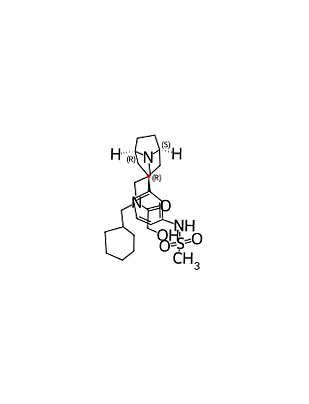 CS(=O)(=O)Nc1cccc([C@H]2C[C@H]3CC[C@@H](C2)N3CCN(CC2CCCCC2)C(=O)CO)c1